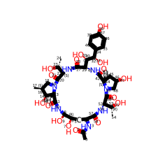 CC(=O)NC1C[C@@H](O)[C@@H](O)NC(=O)[C@@H]2[C@@H](O)[C@@H](C)CN2C(=O)[C@H]([C@@H](C)O)NC(=O)[C@H]([C@H](O)[C@@H](O)c2ccc(O)cc2)NC(=O)[C@@H]2CC(O)CN2C(=O)[C@H]([C@@H](C)O)NC1=O